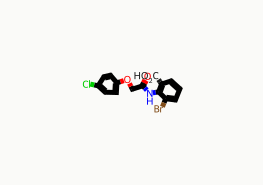 O=C(COc1ccc(Cl)cc1)Nc1c(Br)cccc1C(=O)O